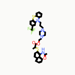 CC(=O)Nc1c(SC(C)C(=O)OCCN2CCN(CCCN3c4ccccc4Sc4ccc(C(F)(F)F)cc43)CC2)ccc2ccccc12